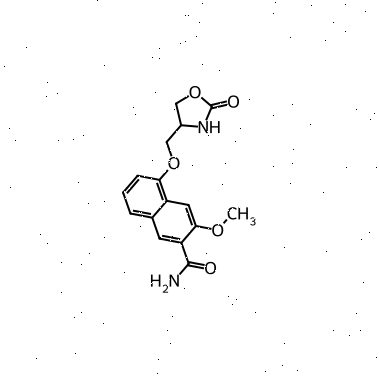 COc1cc2c(OCC3COC(=O)N3)cccc2cc1C(N)=O